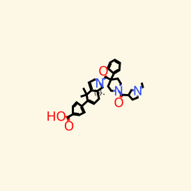 CCN1CCC(C(=O)N2CCC(C(=O)N3CC=C4C(C)(C)C(c5ccc(C(=O)O)cc5)=CC[C@]4(C)C3)(c3ccccc3)CC2)C1